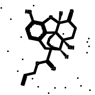 C=CCOC(=O)N1CC[C@]23c4c5ccc(O)c4O[C@H]2C(=O)CC[C@@]3(O)[C@H]1C5